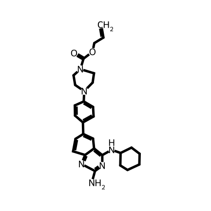 C=CCOC(=O)N1CCN(c2ccc(-c3ccc4nc(N)nc(NC5CCCCC5)c4c3)cc2)CC1